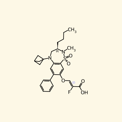 CCCC[C@@H]1CN(C23CC(C2)C3)c2cc(-c3ccccc3)c(O/C=C(\F)C(=O)O)cc2S(=O)(=O)N1C